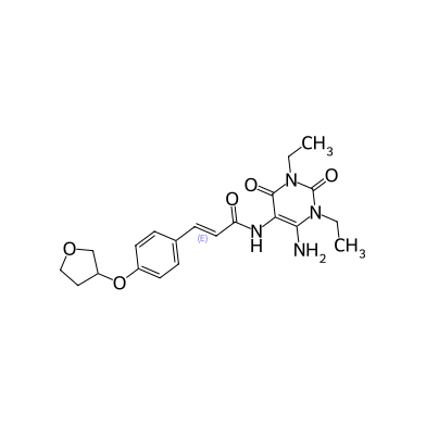 CCn1c(N)c(NC(=O)/C=C/c2ccc(OC3CCOC3)cc2)c(=O)n(CC)c1=O